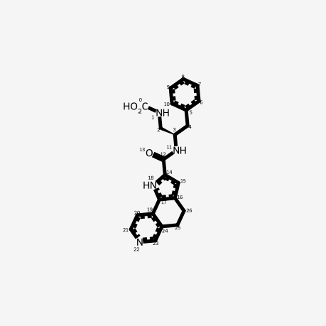 O=C(O)NC[C@@H](Cc1ccccc1)NC(=O)c1cc2c([nH]1)-c1ccncc1CC2